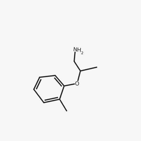 Cc1ccccc1OC(C)CN